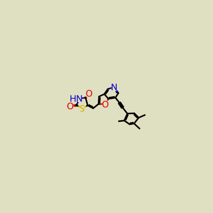 Cc1cc(C)c(C#Cc2cncc3cc(/C=C4/SC(=O)NC4=O)oc23)cc1C